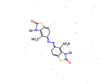 CCn1c(=O)sc2c1=C(S(=O)(=O)O)C(=NN=C1CC=c3sc(=O)n(CC)c3=C1S(=O)(=O)O)CC=2